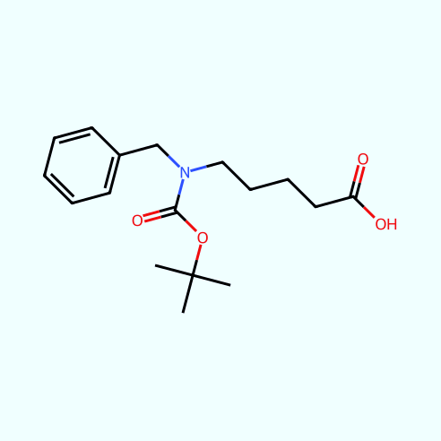 CC(C)(C)OC(=O)N(CCCCC(=O)O)Cc1ccccc1